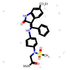 CCOC(=O)c1ccc2c(c1)NC(=O)/C2=C(\Nc1ccc(N(CC(=O)NC)S(C)(=O)=O)cc1)c1ccccc1